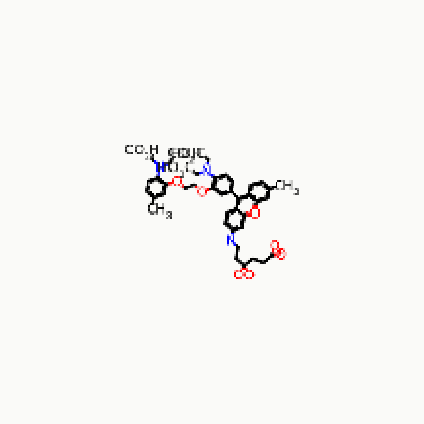 Cc1ccc(N(CC(=O)O)CC(=O)O)c(OCCOc2cc(-c3c4cc/c(=N/CCC5(CCC6OO6)OO5)cc-4oc4cc(C)ccc34)ccc2N(CC(=O)O)CC(=O)O)c1